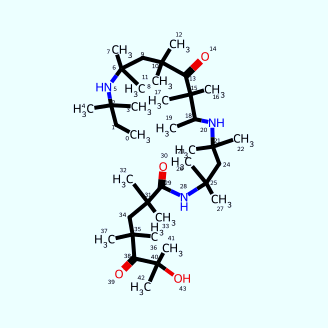 CCC(C)(C)NC(C)(C)CC(C)(C)C(=O)C(C)(C)C(C)NC(C)(C)CC(C)(C)NC(=O)C(C)(C)CC(C)(C)C(=O)C(C)(C)O